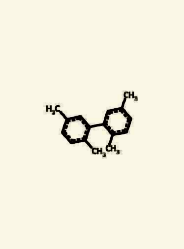 Cc1ccc(C)c(-c2cc(C)ccc2C)c1